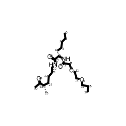 CCCCC[C@H](NC(=O)COCCOCCC)C(=O)NCCCC[C@H](C)C(C)=O